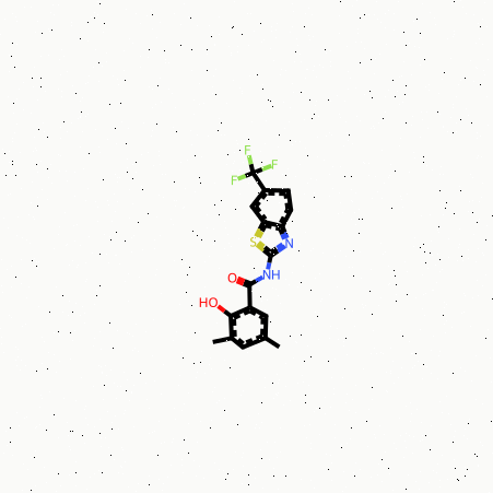 Cc1cc(C)c(O)c(C(=O)Nc2nc3ccc(C(F)(F)F)cc3s2)c1